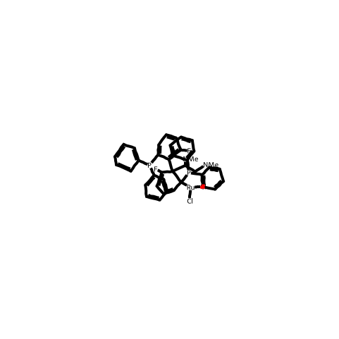 CNCC(NC)C1(c2c(F)cccc2P(c2ccccc2)c2ccccc2)C(F)=CC=C[C]1(P(c1ccccc1)c1ccccc1)[Ru]([Cl])[Cl]